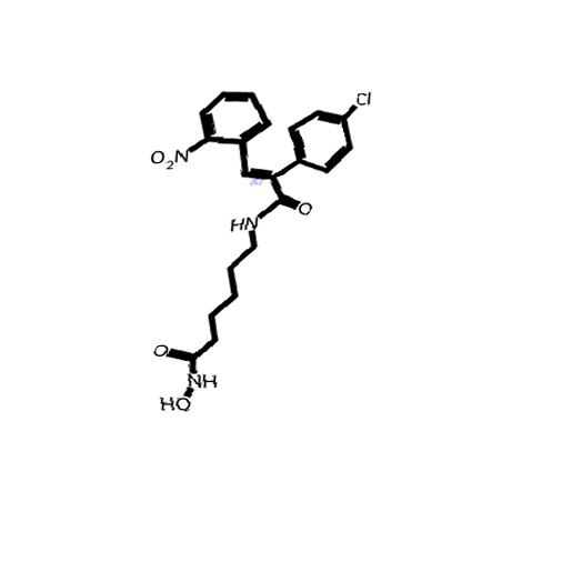 O=C(CCCCCNC(=O)/C(=C/c1ccccc1[N+](=O)[O-])c1ccc(Cl)cc1)NO